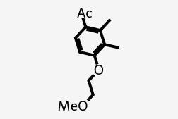 COCCOc1ccc(C(C)=O)c(C)c1C